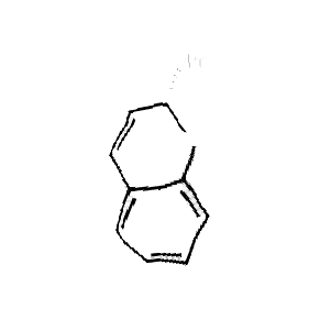 CCC[C@H]1C=Cc2ccccc2O1